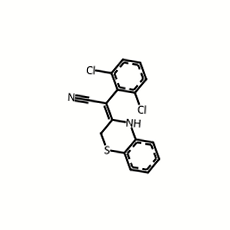 N#CC(=C1CSc2ccccc2N1)c1c(Cl)cccc1Cl